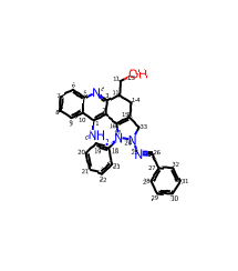 Nc1c2c(nc3ccccc13)C(CO)CC1=C2N(c2ccccc2)N(N=Cc2ccccc2)C1